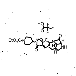 CCOC(=O)N1CCC(N2CC/C(=C\C3=C(C(=O)O)N4C(=O)[C@H]5NC[C@@H](C3)[C@H]54)C2=O)CC1.O=C(O)C(F)(F)F